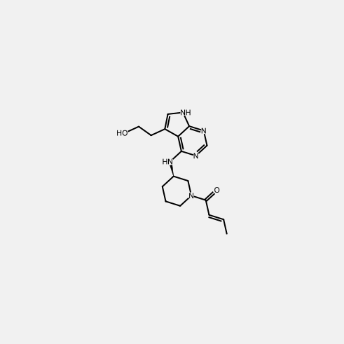 CC=CC(=O)N1CCC[C@@H](Nc2ncnc3[nH]cc(CCO)c23)C1